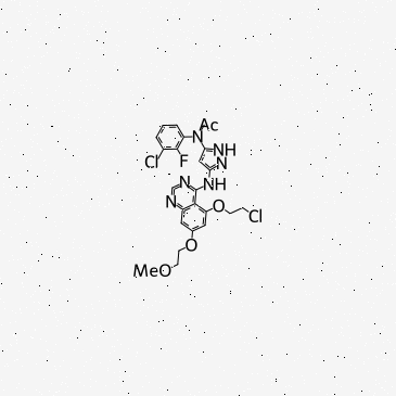 COCCOc1cc(OCCCl)c2c(Nc3cc(N(C(C)=O)c4cccc(Cl)c4F)[nH]n3)ncnc2c1